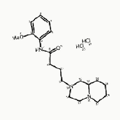 COc1ccccc1NC(=O)CCCN1CCN2CCCCC2C1.Cl.Cl